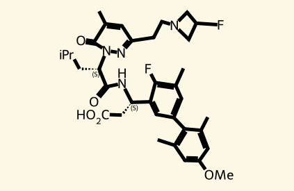 COc1cc(C)c(-c2cc(C)c(F)c([C@H](CC(=O)O)NC(=O)[C@H](CC(C)C)n3nc(CCN4CC(F)C4)cc(C)c3=O)c2)c(C)c1